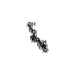 Cc1c(C(=O)Nc2ccc(-c3nc(-c4cccc(OCCC(C)(C)O)c4)cnc3N)cc2)c(=O)n(-c2ccccc2)n1C